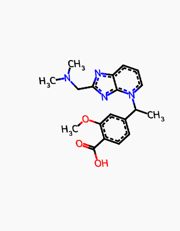 COc1cc(C(C)n2cccc3nc(CN(C)C)nc2-3)ccc1C(=O)O